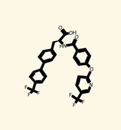 O=C(N[C@@H](Cc1ccc(-c2ccc(C(F)(F)F)cc2)cc1)C(=O)O)c1ccc(Oc2ccc(C(F)(F)F)cn2)cc1